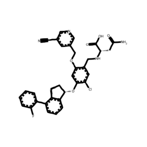 N#Cc1cncc(COc2cc(O[C@H]3CCc4c(-c5ccccc5F)cccc43)c(Cl)cc2CN[C@@H](CC(N)=O)C(=O)O)c1